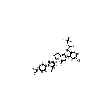 CC(C)(C)OC(=O)Nc1ccc(Cl)cc1-c1cc2n(c(=O)c1)[C@H](c1cc(=O)n(-c3ccc([N+](=O)[O-])cc3)[nH]1)CC2